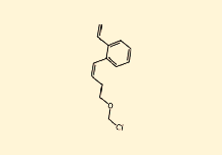 C=Cc1ccccc1/C=C\CCOCCl